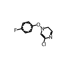 Fc1ccc(ON2C=C(Cl)N=CC2)cc1